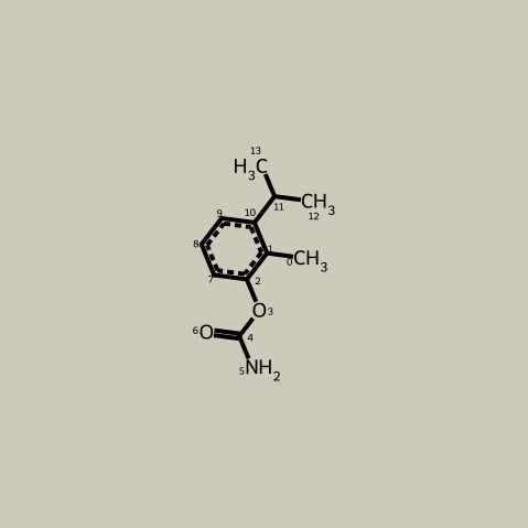 Cc1c(OC(N)=O)cccc1C(C)C